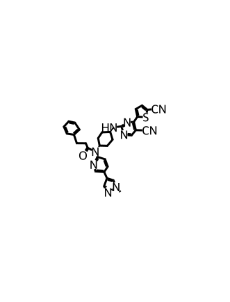 Cn1cc(-c2ccc(N(C(=O)CCc3ccccc3)[C@H]3CC[C@H](Nc4ncc(C#N)c(-c5ccc(C#N)s5)n4)CC3)nc2)cn1